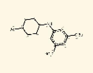 CC(=O)N1CCC(Nc2cc(C(=O)O)nc(OCC(C)C)n2)CC1